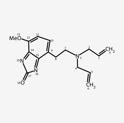 C=CCN(CC=C)CCc1ccc(OC)c2c1=NC(=O)N=2